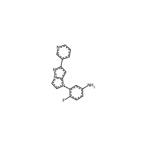 Nc1ccc(F)c(-n2ccn3nc(-c4cccnc4)cc23)c1